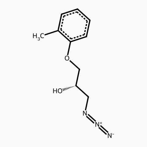 Cc1ccccc1OC[C@@H](O)CN=[N+]=[N-]